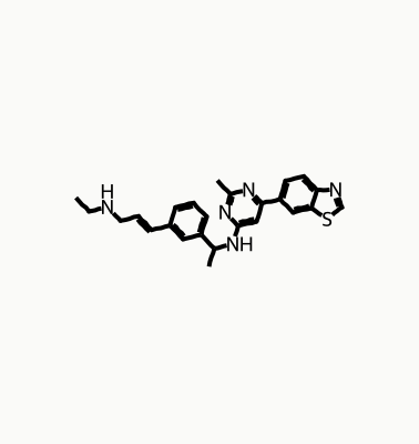 CCNCC=Cc1cccc(C(C)Nc2cc(-c3ccc4ncsc4c3)nc(C)n2)c1